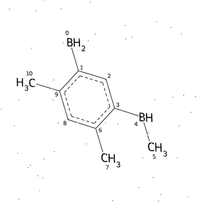 Bc1cc(BC)c(C)cc1C